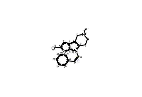 CN1CCc2c(c3cc(Cl)sc3n2/C=C\c2ccccc2)C1